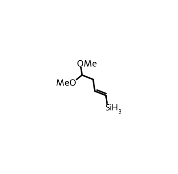 COC(CC=C[SiH3])OC